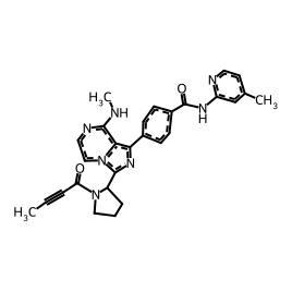 CC#CC(=O)N1CCCC1c1nc(-c2ccc(C(=O)Nc3cc(C)ccn3)cc2)c2c(NC)nccn12